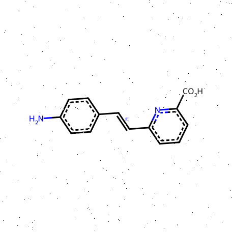 Nc1ccc(/C=C/c2cccc(C(=O)O)n2)cc1